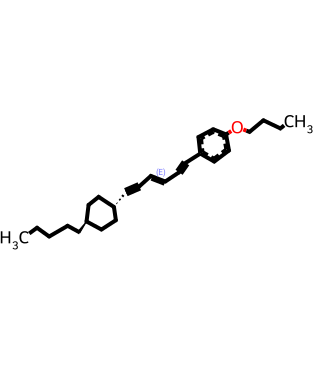 CCCCC[C@H]1CC[C@H](C#C/C=C/C#Cc2ccc(OCCCC)cc2)CC1